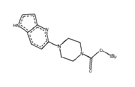 CC(C)(C)OC(=O)N1CCN(c2ccc3[nH]ccc3n2)CC1